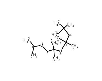 CC(C)OCC(C)(C)OC(C)(C)CC(C)(C)C